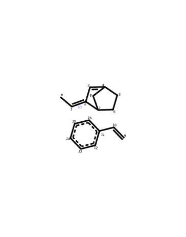 C/C=C1\C=C2CCC1C2.C=Cc1ccccc1